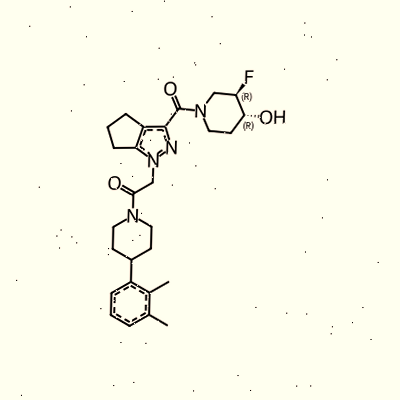 Cc1cccc(C2CCN(C(=O)Cn3nc(C(=O)N4CC[C@@H](O)[C@H](F)C4)c4c3CCC4)CC2)c1C